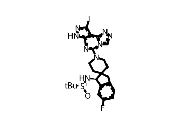 CC(C)(C)[S@@+]([O-])N[C@@H]1c2cc(F)ccc2CC12CCN(c1nc3[nH]nc(I)c3c3nncn13)CC2